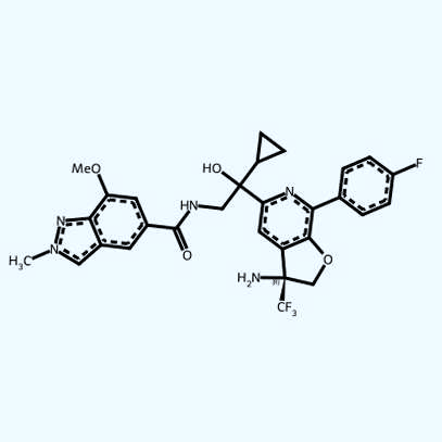 COc1cc(C(=O)NCC(O)(c2cc3c(c(-c4ccc(F)cc4)n2)OC[C@@]3(N)C(F)(F)F)C2CC2)cc2cn(C)nc12